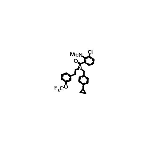 CNc1c(Cl)cccc1C(=O)N(CCc1cccc(OC(F)(F)F)c1)Cc1ccc(C2CC2)cc1